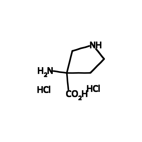 Cl.Cl.NC1(C(=O)O)CCNC1